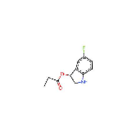 CCC(=O)OC1CNc2ccc(F)cc21